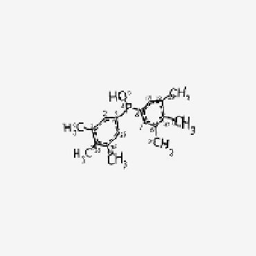 Cc1cc(P(O)c2cc(C)c(C)c(C)c2)cc(C)c1C